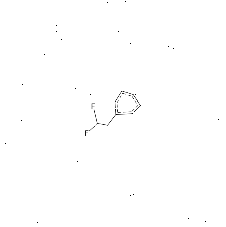 FC(F)Cc1cc[c]cc1